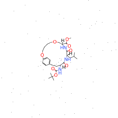 COC(=O)[C@H]1COCCCCOc2ccc(cc2)C[C@H](NC(=O)OC(C)(C)C)C(=O)N[C@@H](CC(C)C)C(=O)N1